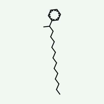 CCCCCCCCCCCCCC(C)c1c[c]ccc1